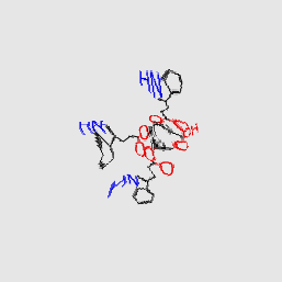 O=C(CCc1c[nH]c2ccccc12)O[C@@H]1[C@H](OC(=O)CCc2c[nH]c3ccccc23)COC(O)[C@@H]1OC(=O)CCc1c[nH]c2ccccc12